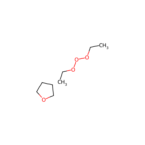 C1CCOC1.CCOOOCC